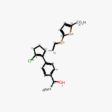 CCCCCC(O)c1ccc(C2=C(Cl)CC[C@@H]2CCSc2ccc(C(=O)O)s2)cc1